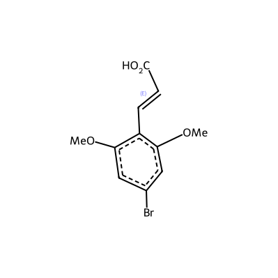 COc1cc(Br)cc(OC)c1/C=C/C(=O)O